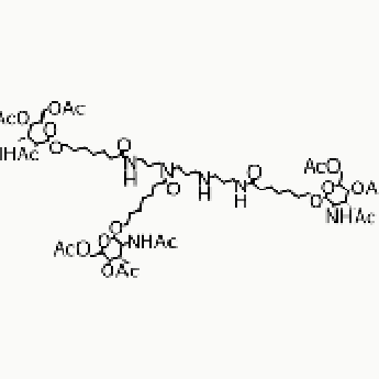 CC(=O)NC1[C@H](OCCCCCCC(=O)NCCCNCCCN(CCCNC(=O)CCCCCCO[C@@H]2OC(COC(C)=O)[C@H](OC(C)=O)[C@H](C)C2NC(C)=O)C(=O)CCCCCCO[C@@H]2OC(COC(C)=O)[C@H](OC(C)=O)[C@H](C)C2NC(C)=O)OC(COC(C)=O)[C@H](OC(C)=O)[C@@H]1C